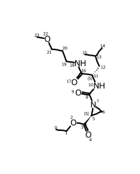 CCOC(=O)[C@@H]1CN1C(=O)N[C@@H](CC(C)C)C(=O)NCCCOC